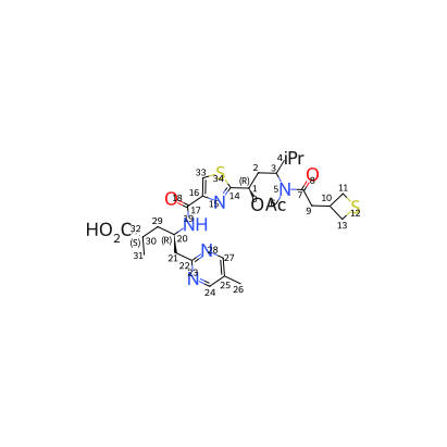 CC(=O)O[C@H](CC(C(C)C)N(C)C(=O)CC1CSC1)c1nc(C(=O)N[C@@H](Cc2ncc(C)cn2)C[C@H](C)C(=O)O)cs1